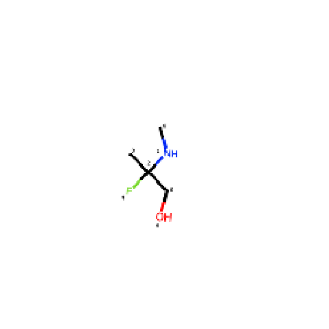 CNC(C)(F)CO